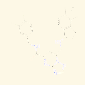 Cc1c(C(=O)O)ccc2c1CC[C@@H]2NCc1cc(C(=O)NCc2ccc(F)c(F)c2)nc2ncnn12